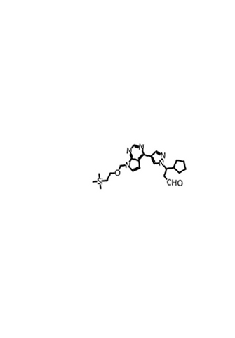 C[Si](C)(C)CCOCn1ccc2c(-c3cnn(C(CC=O)C4CCCC4)c3)ncnc21